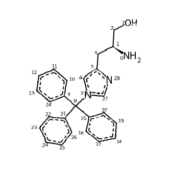 N[C@H](CO)Cc1cn(C(c2ccccc2)(c2ccccc2)c2ccccc2)cn1